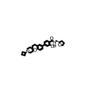 O=C(NC[C@H]1CCCO1)c1ccc(-c2ccc3c(c2)CCC2(CCN(C4CCC4)CC2)O3)cc1Cl